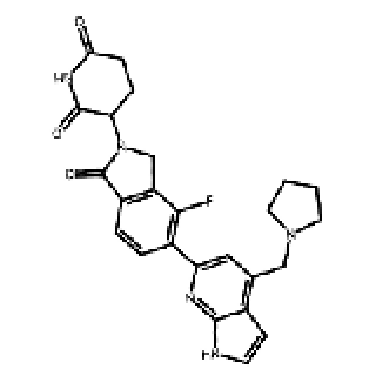 O=C1CCC(N2Cc3c(ccc(-c4cc(CN5CCCC5)c5cc[nH]c5n4)c3F)C2=O)C(=O)N1